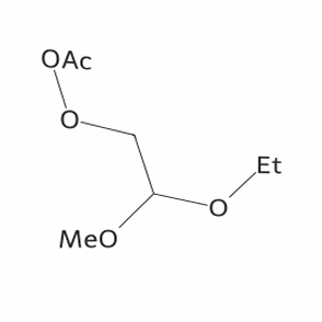 CCOC(COOC(C)=O)OC